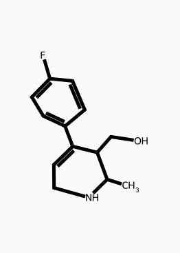 CC1NCC=C(c2ccc(F)cc2)C1CO